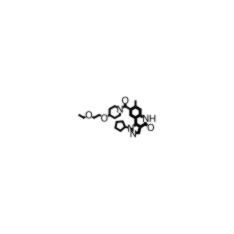 CCOCCOC1CCN(C(=O)c2cc3c(cc2C)[nH]c(=O)c2cnn(C4CCCC4)c23)CC1